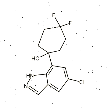 OC1(c2cc(Cl)cc3cn[nH]c23)CCC(F)(F)CC1